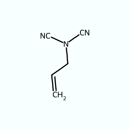 C=CCN(C#N)C#N